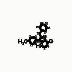 Cc1ccc(C2=C3NC=CC(=O)C3N=C2Cc2ccccc2)cc1